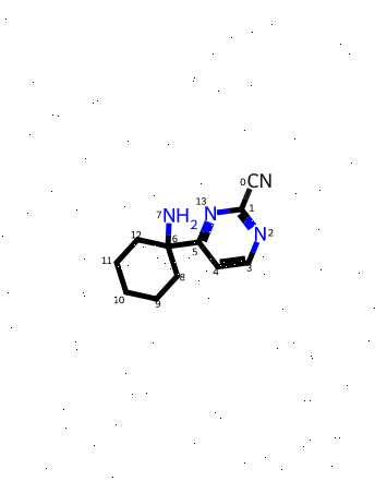 N#Cc1nccc(C2(N)CCCCC2)n1